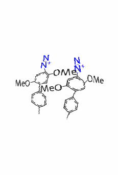 COc1cc(-c2ccc(C)cc2)c(OC)cc1[N+]#N.COc1cc(-c2ccc(C)cc2)c(OC)cc1[N+]#N